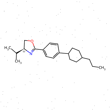 CCCC1CCC(c2ccc(C3=N[C@@H](C(C)C)CO3)cc2)CC1